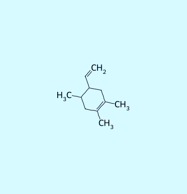 C=CC1CC(C)=C(C)CC1C